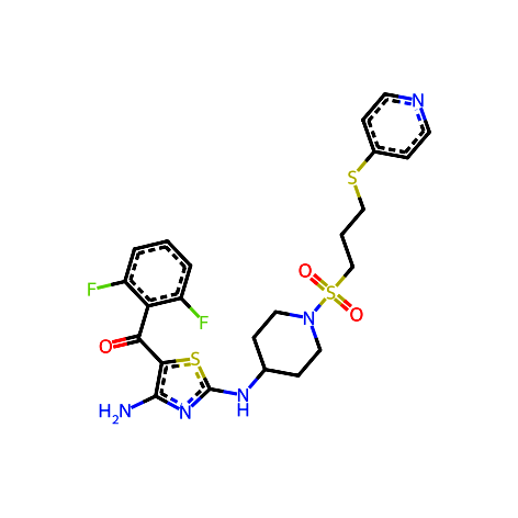 Nc1nc(NC2CCN(S(=O)(=O)CCCSc3ccncc3)CC2)sc1C(=O)c1c(F)cccc1F